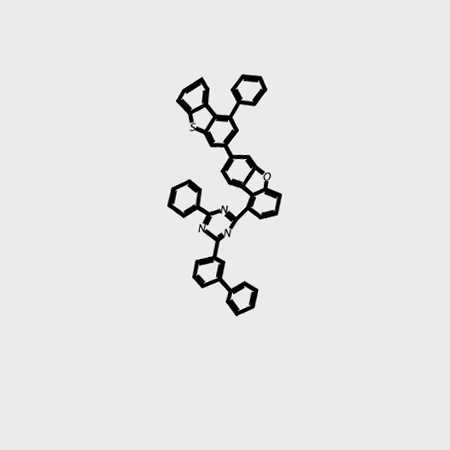 c1ccc(-c2cccc(-c3nc(-c4ccccc4)nc(-c4cccc5oc6cc(-c7cc(-c8ccccc8)c8c(c7)sc7ccccc78)ccc6c45)n3)c2)cc1